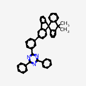 CC1(C)c2ccccc2C2(c3ccccc3-c3cc(-c4cccc(-c5nc(-c6ccccc6)nc(-c6ccccc6)n5)c4)ccc32)c2ccccc21